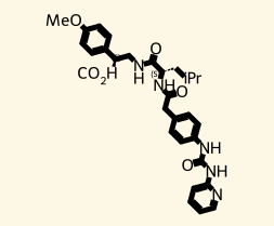 COc1ccc([C@@H](CNC(=O)[C@H](CC(C)C)NC(=O)Cc2ccc(NC(=O)Nc3ccccn3)cc2)C(=O)O)cc1